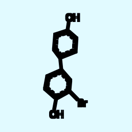 Oc1ccc(-c2ccc(O)c(Br)c2)cc1